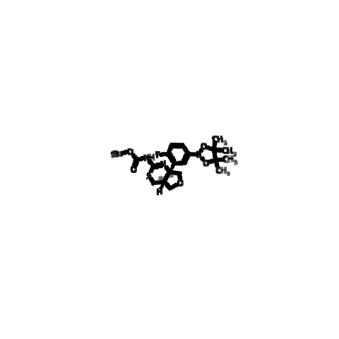 CC(C)(C)OC(=O)NC1=N[C@]2(c3cc(B4OC(C)(C)C(C)(C)O4)ccc3F)COC[C@@H]2CS1